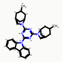 CC1CC2=CN(c3nc(N4C=C5CC(C)CC4C5)nc(-n4c5ccccc5c5ccccc54)n3)C(C2)C1